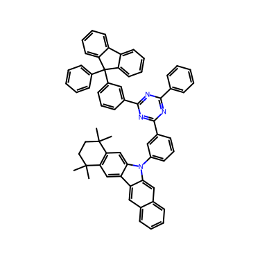 CC1(C)CCC(C)(C)c2cc3c(cc21)c1cc2ccccc2cc1n3-c1cccc(-c2nc(-c3ccccc3)nc(-c3cccc(C4(c5ccccc5)c5ccccc5-c5ccccc54)c3)n2)c1